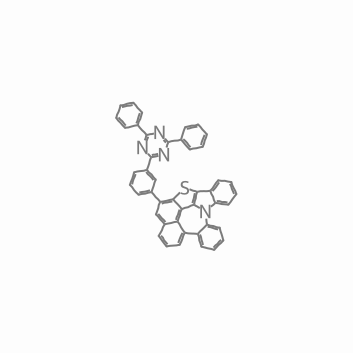 c1ccc(-c2nc(-c3ccccc3)nc(-c3cccc(-c4cc5cccc6c7ccccc7n7c8ccccc8c8sc4c(c56)c87)c3)n2)cc1